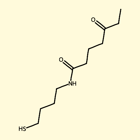 CCC(=O)CCCC(=O)NCCCCS